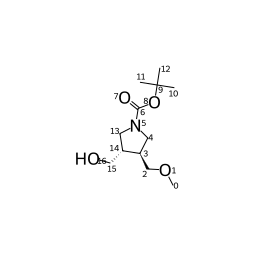 COC[C@@H]1CN(C(=O)OC(C)(C)C)C[C@H]1CO